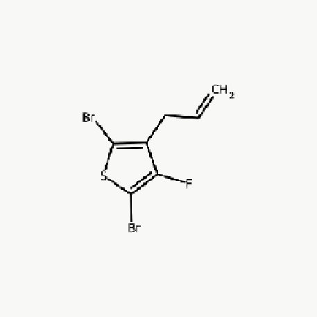 C=CCc1c(Br)sc(Br)c1F